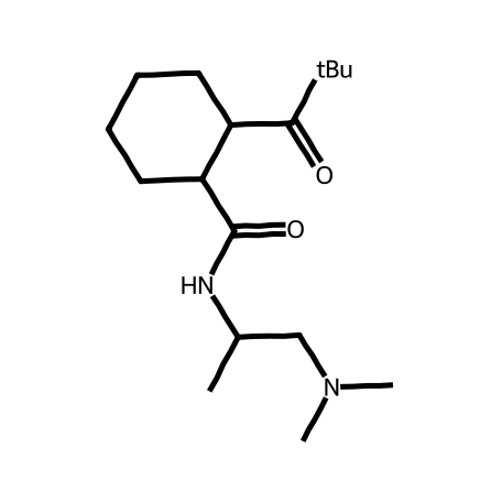 CC(CN(C)C)NC(=O)C1CCCCC1C(=O)C(C)(C)C